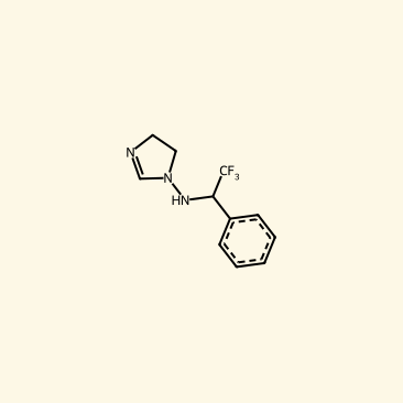 FC(F)(F)C(NN1C=NCC1)c1ccccc1